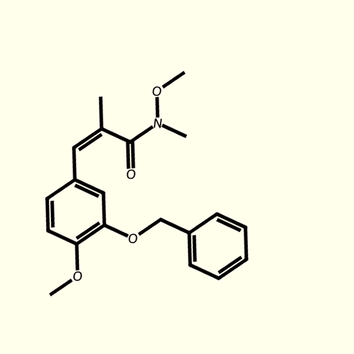 COc1ccc(C=C(C)C(=O)N(C)OC)cc1OCc1ccccc1